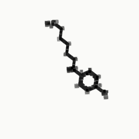 CCCCCCNc1ccc(Br)cc1